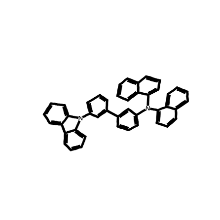 c1cc(-c2cccc(-n3c4ccccc4c4ccccc43)c2)cc(N(c2cccc3ccccc23)c2cccc3ccccc23)c1